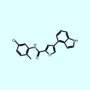 Cc1ccc(Cl)cc1NC(=O)c1cc(-c2cccc3[nH]ccc23)co1